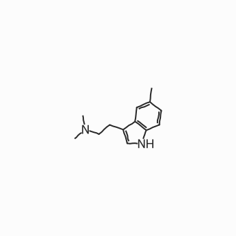 Cc1ccc2[nH]cc(CCN(C)C)c2c1